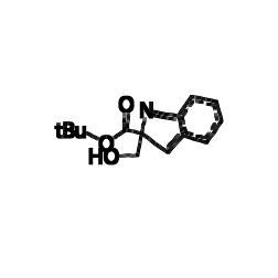 CC(C)(C)OC(=O)C1(CO)C=c2ccccc2=N1